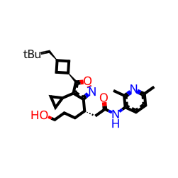 Cc1ccc(NC(=O)C[C@H](CCCO)c2noc([C@H]3C[C@@H](CC(C)(C)C)C3)c2C2CC2)c(C)n1